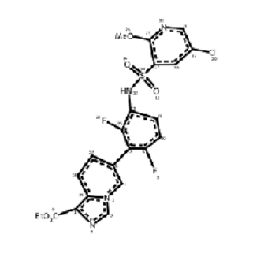 CCOC(=O)c1ncn2cc(-c3c(F)ccc(NS(=O)(=O)c4cc(Cl)cnc4OC)c3F)ccc12